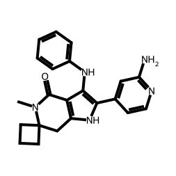 CN1C(=O)c2c([nH]c(-c3ccnc(N)c3)c2Nc2ccccc2)CC12CCC2